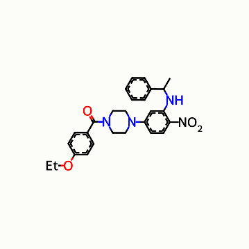 CCOc1ccc(C(=O)N2CCN(c3ccc([N+](=O)[O-])c(NC(C)c4ccccc4)c3)CC2)cc1